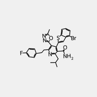 Cc1nnc(-c2c(CCc3ccc(F)cc3)nc(CC(C)C)c(C(N)=O)c2-c2cc3c(Br)cccc3s2)o1